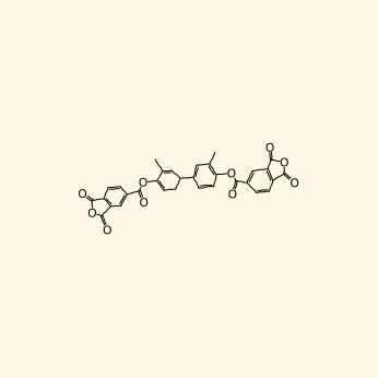 CC1=CC(c2ccc(OC(=O)c3ccc4c(c3)C(=O)OC4=O)c(C)c2)CC=C1OC(=O)c1ccc2c(c1)C(=O)OC2=O